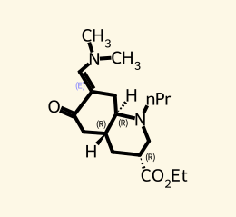 CCCN1C[C@H](C(=O)OCC)C[C@@H]2CC(=O)/C(=C/N(C)C)C[C@H]21